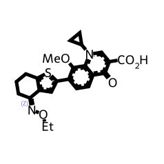 CCO/N=C1/CCCc2sc(-c3ccc4c(=O)c(C(=O)O)cn(C5CC5)c4c3OC)cc21